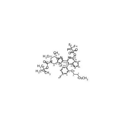 COCCOc1cc(F)cc(F)c1-c1c(-c2cc3n(n2)[C@@H](C)[C@@H](C)N(C(=O)OC(C)(C)C)C3)nc(OS(=O)(=O)C(F)(F)F)c2ccsc12